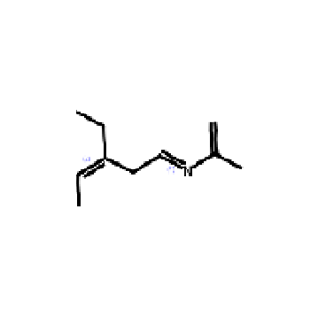 C=C(C)/N=C/C/C(=C\C)CC